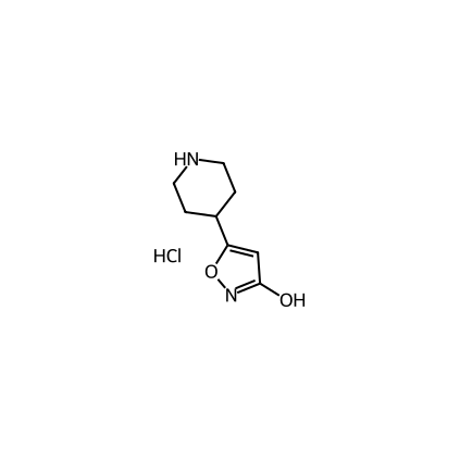 Cl.Oc1cc(C2CCNCC2)on1